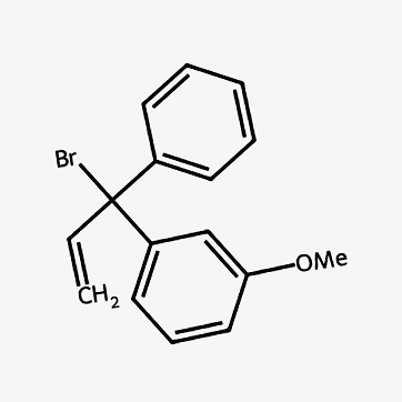 C=CC(Br)(c1ccccc1)c1cccc(OC)c1